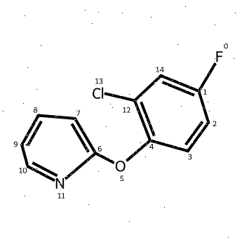 Fc1ccc(Oc2cc[c]cn2)c(Cl)c1